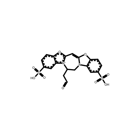 O=CCC1CN2C(=Cc3oc4ccc(S(=O)(=O)O)cc4[n+]31)Oc1ccc(S(=O)(=O)O)cc12